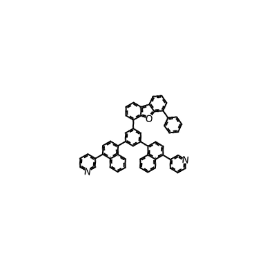 c1ccc(-c2cccc3c2oc2c(-c4cc(-c5ccc(-c6cccnc6)c6ccccc56)cc(-c5ccc(-c6cccnc6)c6ccccc56)c4)cccc23)cc1